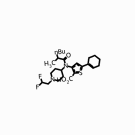 CCCCC(C)C(=O)N(c1cc(C2=CCCCC2)sc1C(=O)O)C1CCN(CC(F)F)CC1